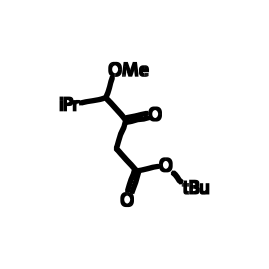 COC(C(=O)CC(=O)OC(C)(C)C)C(C)C